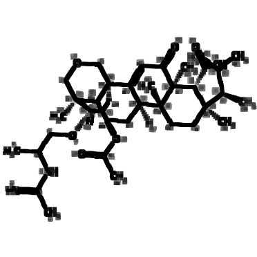 CC(=N)NC(C)CO[C@H]1[C@H](OC(C)=O)C[C@@]23COC[C@@]1(C)[C@@H]2CC[C@H]1C3=CC(=O)[C@@]2(C)[C@H](C(=O)O)[C@@](C)([C@H](C)C(C)C)CC[C@]12C